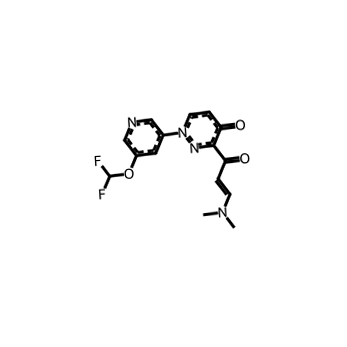 CN(C)C=CC(=O)c1nn(-c2cncc(OC(F)F)c2)ccc1=O